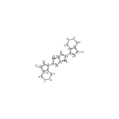 Cc1sc(-c2nc3sc(-c4sc(C)c5c4SCCS5)nc3s2)c2c1SCCS2